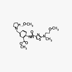 COCCN(C)c1nc(C(=O)Nc2ccc(CN3CCC[C@@H]3COC)cc2C(=O)OC)cs1